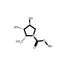 CCC[C@H]1[C@@H](C(=O)O)N(C(=O)OC(C)(C)C)C[C@@H]1O